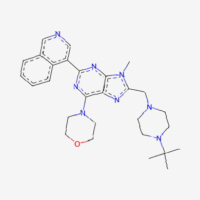 Cn1c(CN2CCN(C(C)(C)C)CC2)nc2c(N3CCOCC3)nc(-c3cncc4ccccc34)nc21